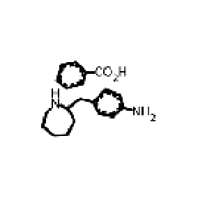 Nc1ccc(CC2CCCCCN2)cc1.O=C(O)c1ccccc1